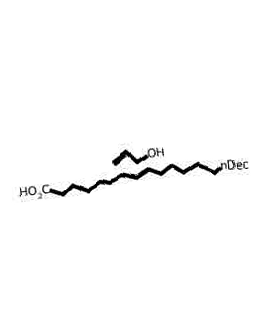 C=CCO.CCCCCCCCCCCCCCCCCCCCCCCC(=O)O